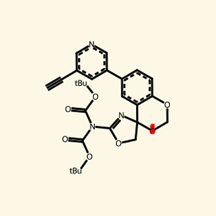 C#Cc1cncc(-c2ccc3c(c2)C2(COC(N(C(=O)OC(C)(C)C)C(=O)OC(C)(C)C)=N2)C2(COC2)CO3)c1